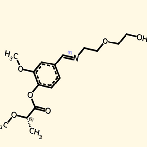 COc1cc(/C=N/CCOCCO)ccc1OC(=O)[C@H](C)OC